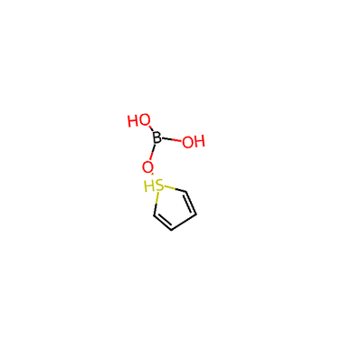 OB(O)O[SH]1C=CC=C1